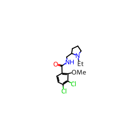 CCN1CCCC1CNC(=O)c1ccc(Cl)c(Cl)c1OC